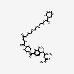 CNC(=O)OC(C)Cc1ccc(C(=O)N2CCN(C(=O)CCC(=O)OCCOCCOCCOC(=O)N3CCNCC3)CC2)cc1[N+](=O)[O-]